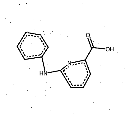 O=C(O)c1cccc(Nc2ccccc2)n1